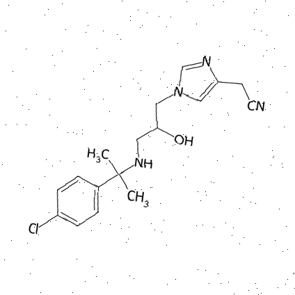 CC(C)(NCC(O)Cn1cnc(CC#N)c1)c1ccc(Cl)cc1